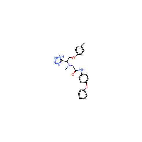 Cc1ccc(OCC(c2nnn[nH]2)N(C)CC(=O)Nc2ccc(Oc3ccccc3)cc2)cc1